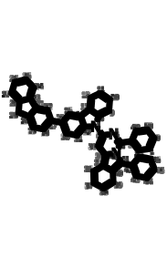 c1ccc(-c2nc(-n3c4ccccc4c4cc(-c5ccc6c(c5)-c5ccccc5C6)ccc43)cc3c4ccccc4c(-c4ccccc4)n23)cc1